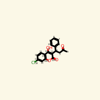 CC(=O)CC(c1ccccc1)c1c(O)c2ccc(Cl)cc2oc1=O